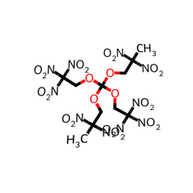 CC(COC(OCC(C)([N+](=O)[O-])[N+](=O)[O-])(OCC([N+](=O)[O-])([N+](=O)[O-])[N+](=O)[O-])OCC([N+](=O)[O-])([N+](=O)[O-])[N+](=O)[O-])([N+](=O)[O-])[N+](=O)[O-]